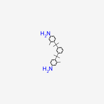 Cc1cc(N)ccc1C(C)(C)c1cccc(C(C)(C)c2ccc(N)cc2C)c1